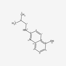 CC(C)CNc1ccc2c(O)cccc2n1